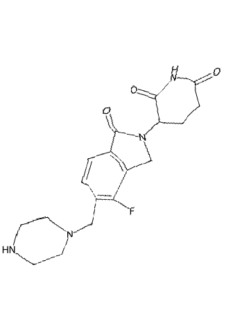 O=C1CCC(N2Cc3c(ccc(CN4CCNCC4)c3F)C2=O)C(=O)N1